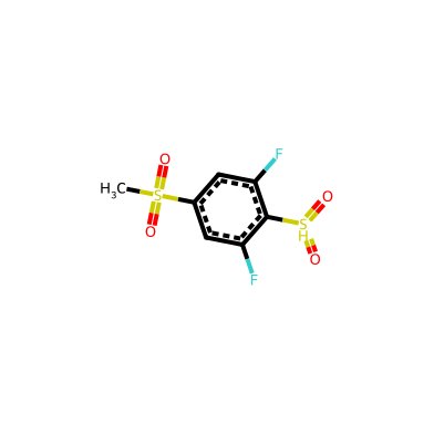 CS(=O)(=O)c1cc(F)c([SH](=O)=O)c(F)c1